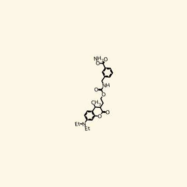 CCN(CC)c1ccc2c(c1)OC(=O)C(CCOC(=O)NCc1cccc(C(=O)ON)c1)C2C